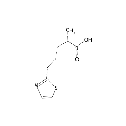 CC(CCCc1nccs1)C(=O)O